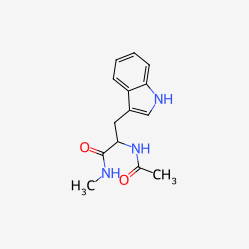 CNC(=O)C(Cc1c[nH]c2ccccc12)NC(C)=O